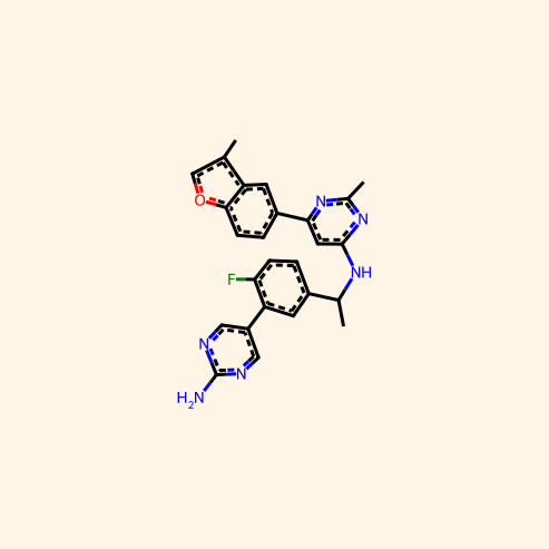 Cc1nc(NC(C)c2ccc(F)c(-c3cnc(N)nc3)c2)cc(-c2ccc3occ(C)c3c2)n1